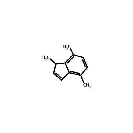 Cc1ccc(C)c2c1C=CC2C